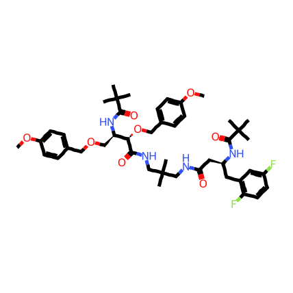 COc1ccc(COC[C@@H](NC(=O)C(C)(C)C)[C@H](OCc2ccc(OC)cc2)C(=O)NCC(C)(C)CNC(=O)C[C@H](Cc2cc(F)ccc2F)NC(=O)C(C)(C)C)cc1